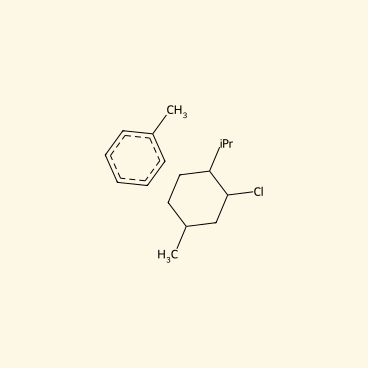 CC1CCC(C(C)C)C(Cl)C1.Cc1ccccc1